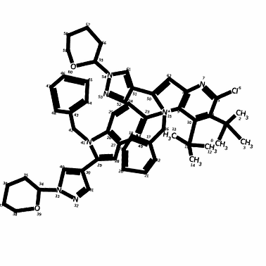 CC(C)(C)c1c(Cl)nc2c(c1C(C)(C)C)[N+](Cc1ccccc1)(c1ccc3c(cc(-c4cnn(C5CCCCO5)c4)n3Cc3ccccc3)n1)C(c1cnn(C3CCCCO3)c1)=C2